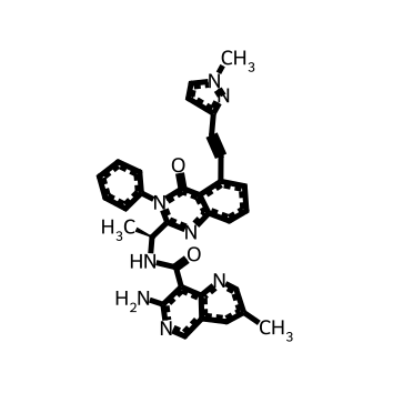 Cc1cnc2c(C(=O)N[C@@H](C)c3nc4cccc(C#Cc5ccn(C)n5)c4c(=O)n3-c3ccccc3)c(N)ncc2c1